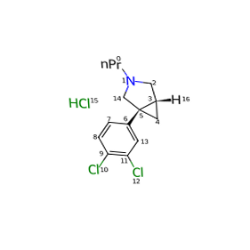 CCCN1C[C@@H]2C[C@]2(c2ccc(Cl)c(Cl)c2)C1.Cl